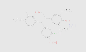 COc1cc(C2COc3c(ccc(N=O)c3C)C2c2ccc(O)c(Cl)c2)cc(OC)c1ON